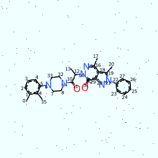 Cc1cccc(N2CCN(C(=O)C(C)n3nc(C)c4c(C)n(-c5ccccc5)nc4c3=O)CC2)c1C